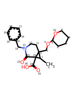 CC1C2(COC3CCCCO3)CCN(Cc3ccccc3)C(=O)C12C(=O)O